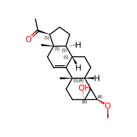 CO[C@@H]1C2[C@H]3CC[C@@H]4C(=CC[C@]5(C)[C@@H](C(C)=O)CC[C@@H]45)[C@@]3(C)CC[C@@]21O